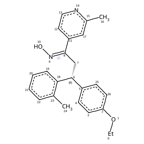 CCOc1ccc([C@@H](C/C(=N/O)c2ccnc(C)c2)c2ccccc2C)cc1